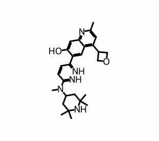 Cc1cc(C2COC2)c2cc(C(=N)/C=C\C(=N)N(C)C3CC(C)(C)NC(C)(C)C3)c(O)cc2n1